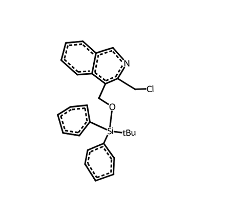 CC(C)(C)[Si](OCc1c(CCl)ncc2ccccc12)(c1ccccc1)c1ccccc1